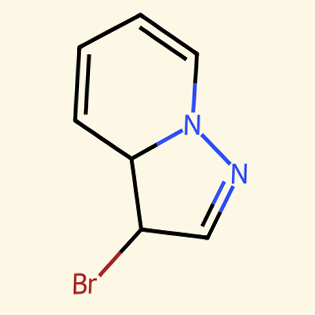 BrC1C=NN2C=CC=CC12